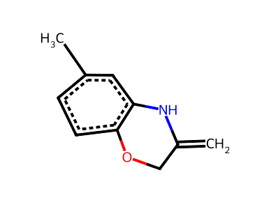 C=C1COc2ccc(C)cc2N1